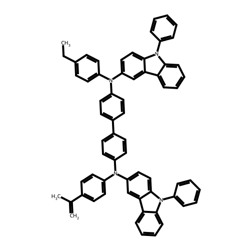 C=C(C)c1ccc(N(c2ccc(-c3ccc(N(c4ccc(CC)cc4)c4ccc5c(c4)c4ccccc4n5-c4ccccc4)cc3)cc2)c2ccc3c(c2)c2ccccc2n3-c2ccccc2)cc1